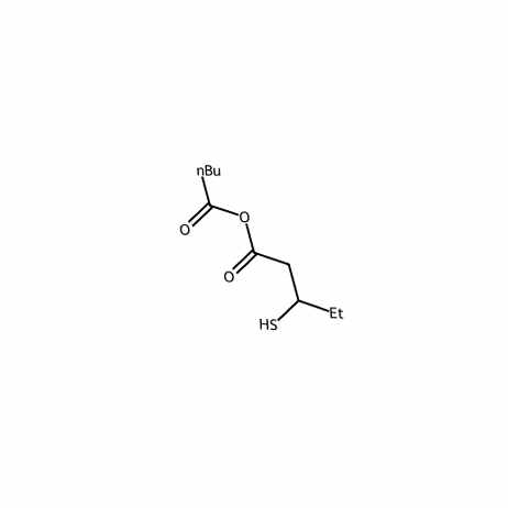 CCCCC(=O)OC(=O)CC(S)CC